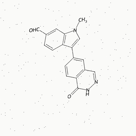 Cn1cc(-c2ccc3c(=O)[nH]ncc3c2)c2ccc(C=O)cc21